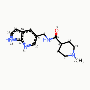 CN1CCC(C(=O)NCc2cnc3[nH]ccc3c2)CC1